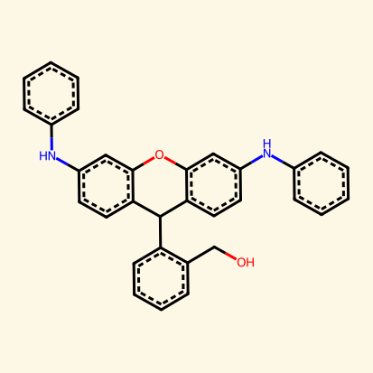 OCc1ccccc1C1c2ccc(Nc3ccccc3)cc2Oc2cc(Nc3ccccc3)ccc21